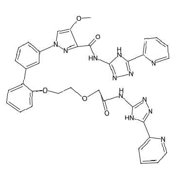 COc1cn(-c2cccc(-c3ccccc3OCCOCC(=O)Nc3nnc(-c4ccccn4)[nH]3)c2)nc1C(=O)Nc1nnc(-c2ccccn2)[nH]1